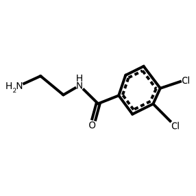 NCCNC(=O)c1ccc(Cl)c(Cl)c1